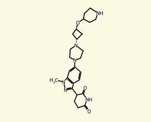 Cn1nc(C2CCC(=O)NC2=O)c2ccc(N3CCN([C@H]4C[C@H](OC5CCNCC5)C4)CC3)cc21